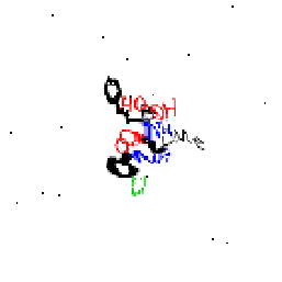 COCC(NC(=O)c1cccc(Cl)c1)C(=O)NC(CCCc1ccccc1)B(O)O